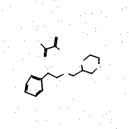 O=C(O)C(=O)O.O[C@H](COCC1CNCCO1)c1ccccc1